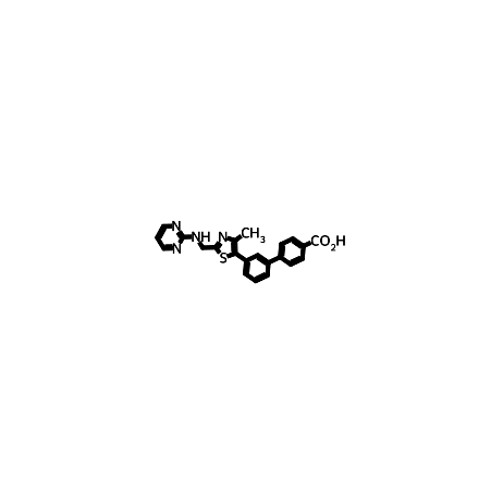 Cc1nc(CNc2ncccn2)sc1-c1cccc(-c2ccc(C(=O)O)cc2)c1